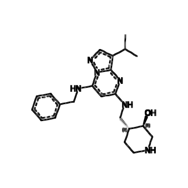 CC(C)c1cnn2c(NCc3ccccc3)cc(NC[C@H]3CCNC[C@@H]3O)nc12